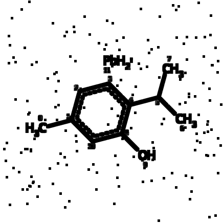 Cc1ccc(C(C)C)c(O)c1.[PbH2]